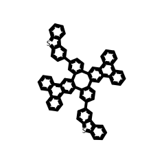 c1ccc2c(c1)sc1ccc(-c3ccc4c(c3)-c3cc5c6ccccc6c6ccccc6c5cc3-c3cc(-c5ccc6sc7ccccc7c6c5)ccc3-c3cc5c6ccccc6c6ccccc6c5cc3-4)cc12